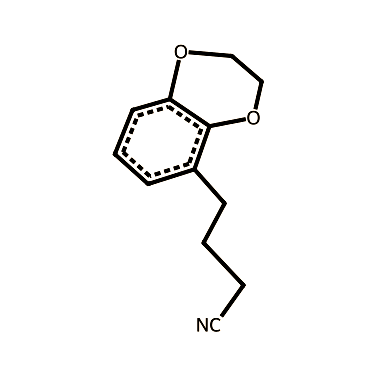 N#CCCCc1cccc2c1OCCO2